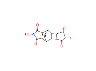 O=C1C(I)C(=O)C2C1C1C3C=CC(C4C(=O)N(O)C(=O)C34)C21